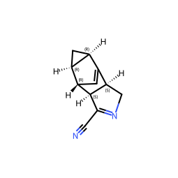 N#CC1=NC[C@@H]2C3=C[C@@H]([C@H]4C[C@@H]34)[C@H]12